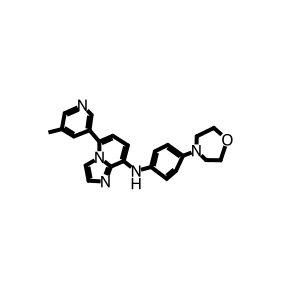 Cc1cncc(-c2ccc(Nc3ccc(N4CCOCC4)cc3)c3nccn23)c1